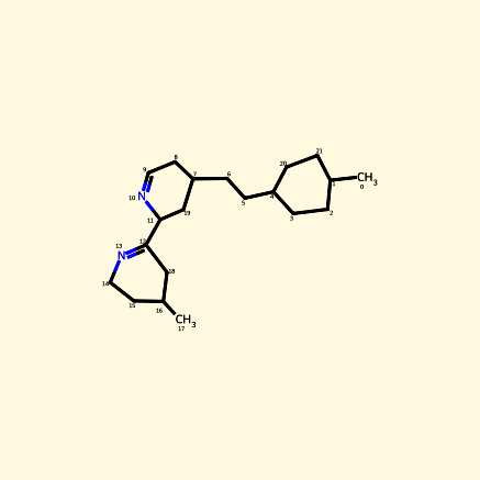 CC1CCC(CCC2CC=NC(C3=NCCC(C)C3)C2)CC1